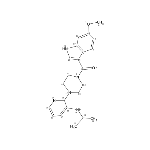 COc1ccc2c(C(=O)N3CCN(c4ncccc4NC(C)C)CC3)c[nH]c2c1